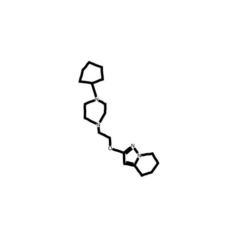 c1c(OCCN2CCN(C3CCCCC3)CC2)nn2c1CCCC2